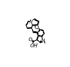 O=C(O)C1=c2c(ccc3c2=CC2=CC=CN4C=CCC24O3)N=C1